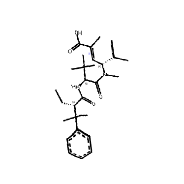 CC[C@H](C(=O)N[C@H](C(=O)N(C)[C@H](/C=C(\C)C(=O)O)C(C)C)C(C)(C)C)C(C)(C)c1ccccc1